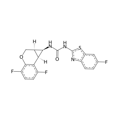 O=C(Nc1nc2ccc(F)cc2s1)N[C@@H]1[C@@H]2COc3c(F)ccc(F)c3[C@@H]21